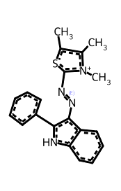 Cc1sc(/N=N/c2c(-c3ccccc3)[nH]c3ccccc23)[n+](C)c1C